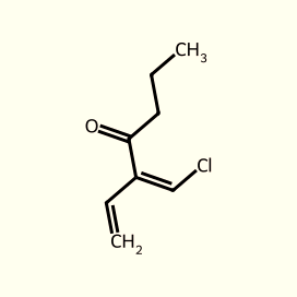 C=CC(=CCl)C(=O)CCC